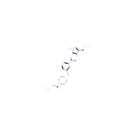 CC(C)(C)C(=O)c1c[nH]c2nc(-c3cccc(CN4CCN(C(=O)CC#N)CC4)c3)cnc12